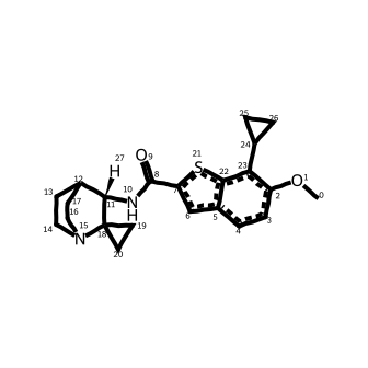 COc1ccc2cc(C(=O)N[C@H]3C4CCN(CC4)C34CC4)sc2c1C1CC1